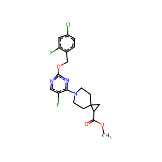 COC(=O)C1CC12CCN(c1nc(OCc3ccc(Cl)cc3F)ncc1F)CC2